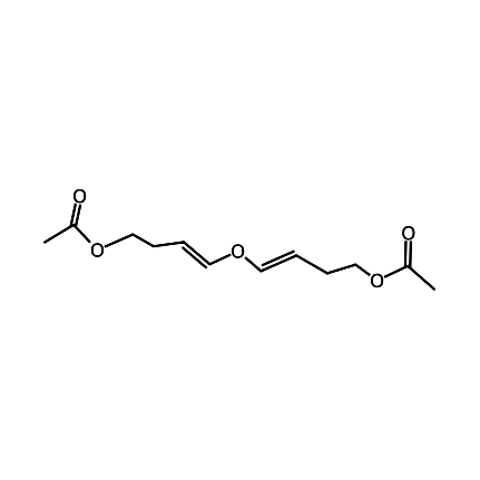 CC(=O)OCCC=COC=CCCOC(C)=O